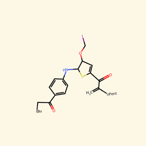 C=C(CCCCC)C(=O)C1=CC(OCI)C(Nc2ccc(C(=O)CC(C)(C)C)cc2)S1